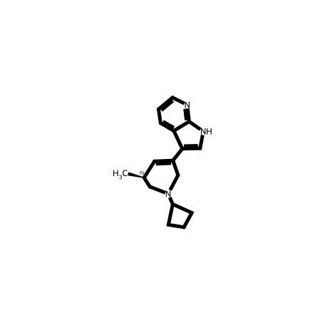 C[C@H]1C=C(c2c[nH]c3ncccc23)CN(C2CCC2)C1